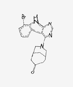 O=C1CC2CC(C1)CN(c1ncnc3[nH]c4c(Br)cccc4c13)C2